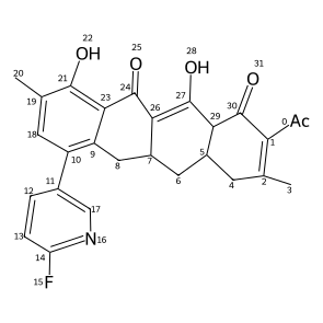 CC(=O)C1=C(C)CC2CC3Cc4c(-c5ccc(F)nc5)cc(C)c(O)c4C(=O)C3=C(O)C2C1=O